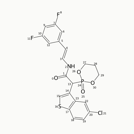 O=C(NC=Cc1cc(F)cc(F)c1)C(c1csc2ccc(Cl)cc12)P1(=O)OCCCO1